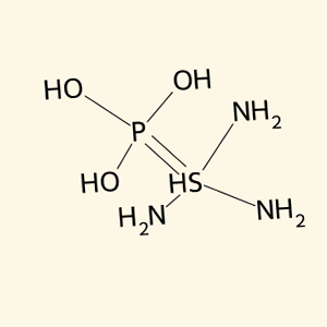 N[SH](N)(N)=P(O)(O)O